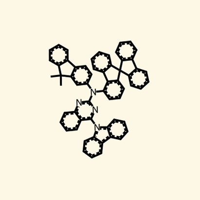 CC1(C)c2ccccc2-c2ccc(N(c3nc(-n4c5ccccc5c5ccccc54)c4ccccc4n3)c3cccc4c3-c3ccccc3C43c4ccccc4-c4ccccc43)cc21